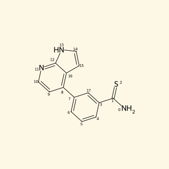 NC(=S)c1cccc(-c2ccnc3[nH]ccc23)c1